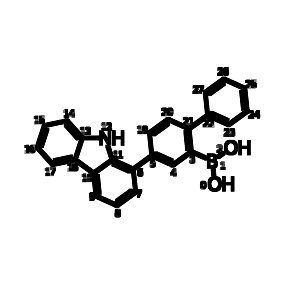 OB(O)c1cc(-c2cccc3c2[nH]c2ccccc23)ccc1-c1ccccc1